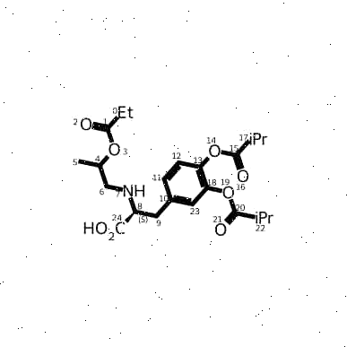 CCC(=O)OC(C)CN[C@@H](Cc1ccc(OC(=O)C(C)C)c(OC(=O)C(C)C)c1)C(=O)O